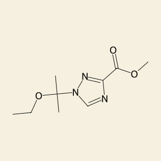 CCOC(C)(C)n1cnc(C(=O)OC)n1